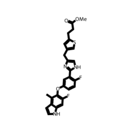 COC(=O)CCc1cc(Cc2c[nH]c(-c3cc(Oc4c(F)cc5[nH]ccc5c4C)ccc3F)n2)cs1